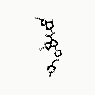 Cc1cn2cc(NC(=O)c3ccc(N4CC[C@H](NCc5cnc(Cl)nc5)C4)c4cn(C)nc34)cc(F)c2n1